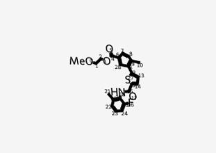 COCCOC(=O)c1ccc(C)c(-c2ccc(C(=O)Nc3c(C)cccc3F)s2)c1